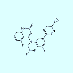 O=c1nc(N(CC(F)F)c2cc(F)cc(-c3cnc(C4CC4)cn3)c2)c2c(F)cccc2[nH]1